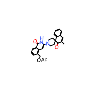 CC(=O)OCc1cccc2c(=O)[nH]c(N3CCC4(CC3)C(=O)C(C)=Cc3ccccc34)cc12